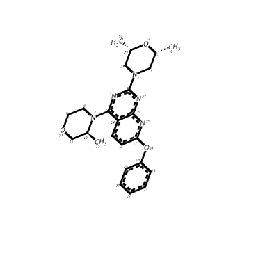 C[C@@H]1CN(c2nc(N3CCOC[C@@H]3C)c3ccc(Oc4ccccc4)nc3n2)C[C@H](C)O1